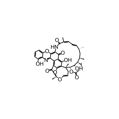 CC(=O)O[C@H]1[C@H](O)[C@H](I)[C@H](C)C[C@@H](C)/C=C/C=C(/C)C(=O)Nc2c3oc4cccc(O)c4nc-3c3c4c5c(c(O)c3c2=O)[C@@]1(C)C/C=C/O[C@@](C)(O5)C4=O